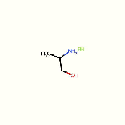 CC(N)CO.F